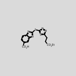 CCOC(=O)CCc1nnc(Sc2nc3ccc(C(=O)O)cc3s2)s1